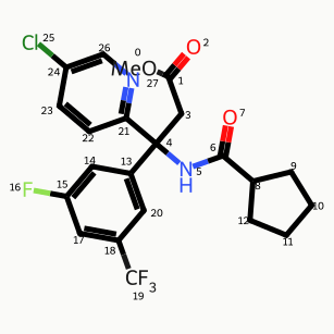 COC(=O)CC(NC(=O)C1CCCC1)(c1cc(F)cc(C(F)(F)F)c1)c1ccc(Cl)cn1